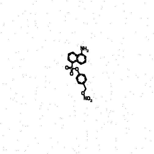 Nc1cccc2c(S(=O)(=O)Oc3ccc(CO[N+](=O)[O-])cc3)cccc12